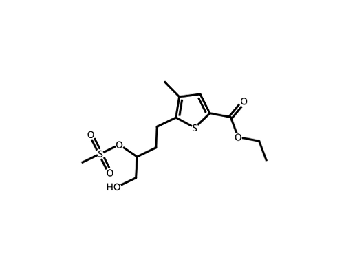 CCOC(=O)c1cc(C)c(CCC(CO)OS(C)(=O)=O)s1